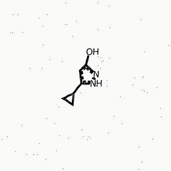 Oc1cc(C2CC2)[nH]n1